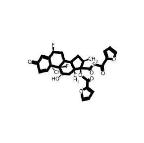 C[C@@H]1CC2C3C[C@H](F)C4=CC(=O)C=C[C@]4(C)[C@@]3(F)[C@@H](O)C[C@]2(C)[C@@]1(OC(=O)c1ccco1)C(=O)SC(=O)c1ccco1